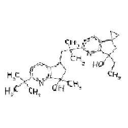 CCC1(O)CC2(CC2)c2ccc(C(C)(C)CC3CC(C)(O)c4nc(C(C)(C)C)ccc43)nc21